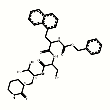 CC(C)CC(NC(=O)C(Cc1cccc2ccccc12)NC(=O)OCc1ccccc1)C(=O)N[C@@H](C[C@@H]1CCCNC1=O)C(O)C#N